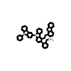 CCc1ccccc1-c1ccc2c(c1CCc1cccc3c1Cc1ccccc1-3)c1ccccc1n2-c1ccc2c(c1)c1ccccc1n2-c1ccccc1